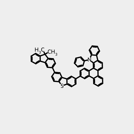 CC1(C)c2ccccc2-c2cc(-c3ccc4sc5ccc(-c6ccc7c(c6)c6ccccc6c6ccc8c9ccccc9n(-c9ccccc9)c8c67)cc5c4c3)ccc21